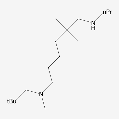 CCCNCC(C)(C)CCCCN(C)CC(C)(C)C